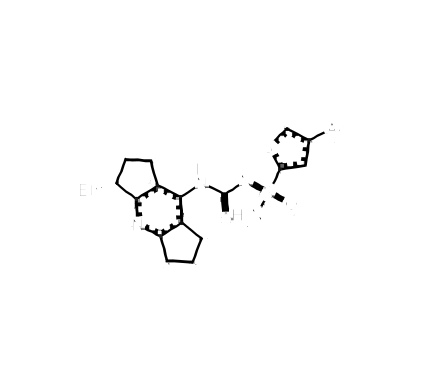 CC[C@@H]1CCc2c1nc1c(c2NC(=O)N=S(N)(=O)c2cc(C(C)=O)cs2)CCC1